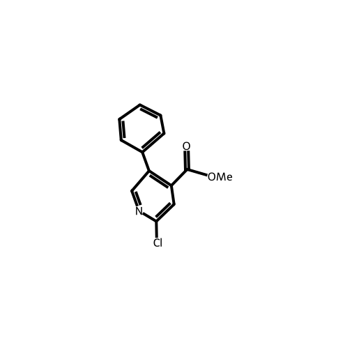 COC(=O)c1cc(Cl)ncc1-c1ccccc1